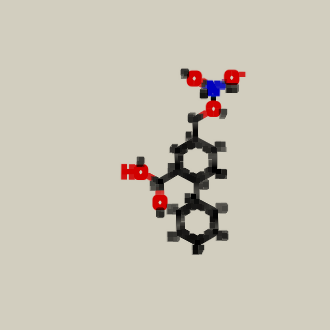 O=C(O)c1cc(CO[N+](=O)[O-])ccc1-c1ccccc1